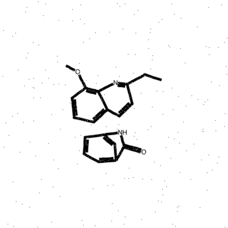 CCc1ccc2cccc(OC)c2n1.O=C1Nc2cccc1c2